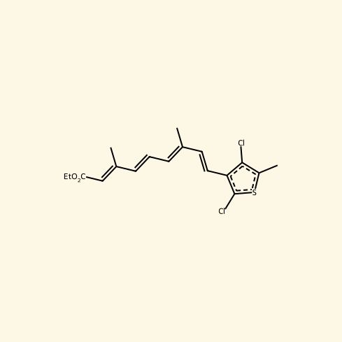 CCOC(=O)/C=C(\C)C=CC=C(C)C=Cc1c(Cl)sc(C)c1Cl